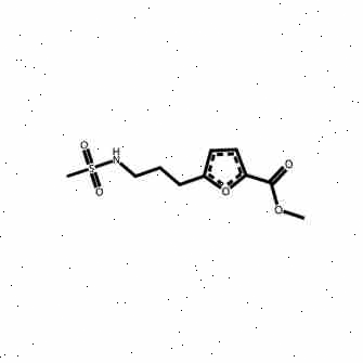 COC(=O)c1ccc(CCCNS(C)(=O)=O)o1